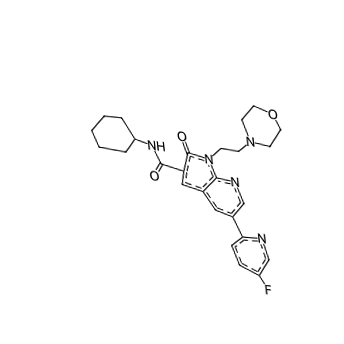 O=C(NC1CCCCC1)c1cc2cc(-c3ccc(F)cn3)cnc2n(CCN2CCOCC2)c1=O